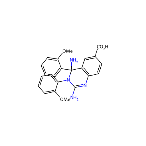 COc1ccccc1N1C(N)=Nc2ccc(C(=O)O)cc2C1(N)c1ccccc1OC